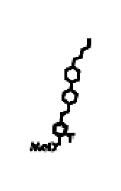 C=CCCCC1CCC(C2CCC(CCc3ccc(COC)c(F)c3)CC2)CC1